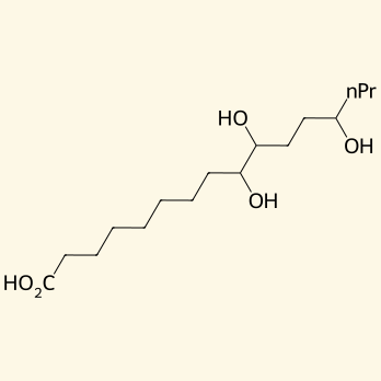 CCCC(O)CCC(O)C(O)CCCCCCCC(=O)O